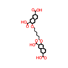 O=C(O)c1ccc2cc(OCCCCCCOc3cc4ccc(C(=O)O)cc4cc3C(=O)O)c(C(=O)O)cc2c1